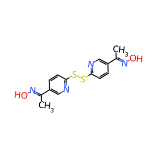 C/C(=N\O)c1ccc(SSc2ccc(/C(C)=N/O)cn2)nc1